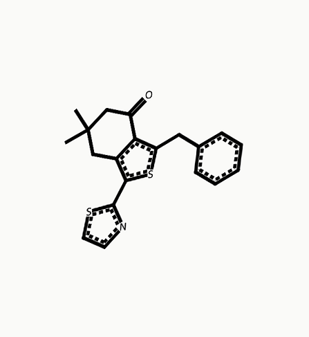 CC1(C)CC(=O)c2c(Cc3ccccc3)sc(-c3nccs3)c2C1